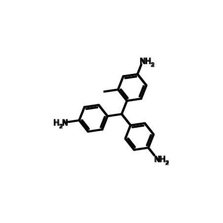 Cc1cc(N)ccc1C(c1ccc(N)cc1)c1ccc(N)cc1